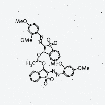 COc1ccc(/N=N/C2=C(ON(C)OC3=C(/N=N/c4ccc(OC)cc4OC)S(=O)(=O)c4ccccc43)c3ccccc3S2(=O)=O)c(OC)c1